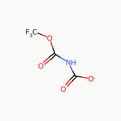 [O]C(=O)NC(=O)OC(F)(F)F